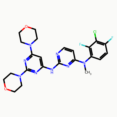 CN(c1ccnc(Nc2cc(N3CCOCC3)nc(N3CCOCC3)n2)n1)c1ccc(F)c(Cl)c1F